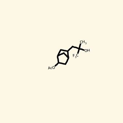 CC(=O)OC1CC2CC1CC2CC(C)(O)C(F)(F)F